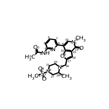 CC(=O)Nc1cccc(-c2cn(C)c(=O)c3cc(CN4CCN(S(C)(=O)=O)CC4C)oc23)n1